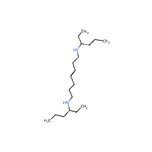 CCCC(CC)NCCCCCCCNC(CC)CCC